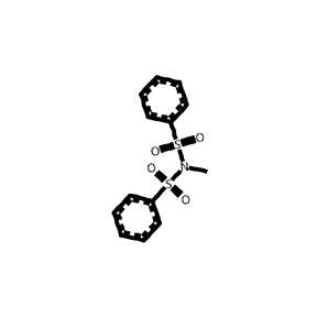 CN(S(=O)(=O)c1ccccc1)S(=O)(=O)c1ccccc1